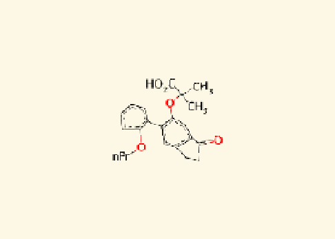 CCCOc1ccccc1-c1cc2c(cc1OC(C)(C)C(=O)O)C(=O)CC2